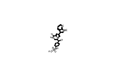 CS(=O)(=O)Nc1ccc(C(=O)c2c[nH]c(=O)c3cc(-c4c[nH]c5ncccc45)cn23)cc1